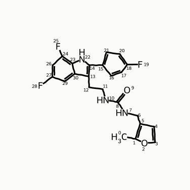 Cc1occc1CNC(=O)NCCc1c(-c2ccc(F)cc2)[nH]c2c(F)cc(F)cc12